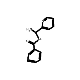 NC(NC(=O)c1ccccc1)c1ccccn1